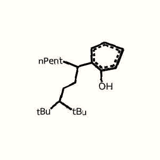 CCCCCC(CCC(C(C)(C)C)C(C)(C)C)c1ccccc1O